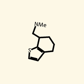 CNCC1CCCc2ccsc21